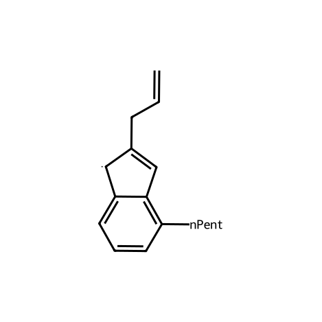 C=CCC1=Cc2c(cccc2CCCCC)[CH]1